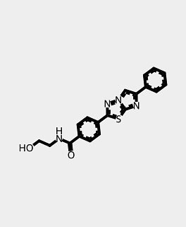 O=C(NCCO)c1ccc(-c2nn3cc(-c4ccccc4)nc3s2)cc1